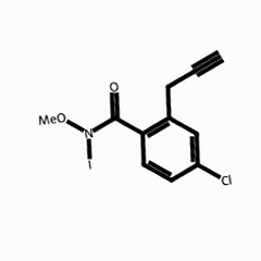 C#CCc1cc(Cl)ccc1C(=O)N(I)OC